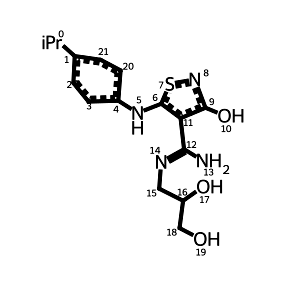 CC(C)c1ccc(Nc2snc(O)c2C(N)=NCC(O)CO)cc1